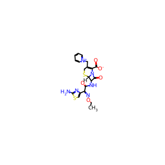 CCON=C(C(=O)NC1C(=O)N2C(C(=O)[O-])=C(C[n+]3ccccc3)CS[C@@H]12)c1csc(N)n1